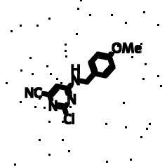 COc1ccc(CNc2cc(C#N)nc(Cl)n2)cc1